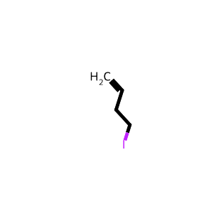 C=CCCI